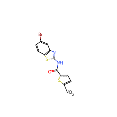 O=C(Nc1nc2cc(Br)ccc2s1)c1ccc([N+](=O)[O-])s1